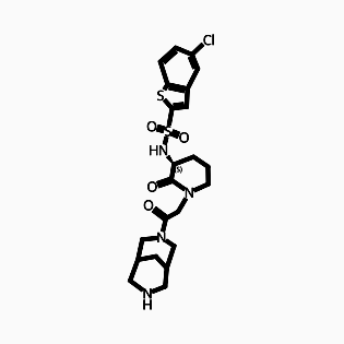 O=C(CN1CCC[C@H](NS(=O)(=O)c2cc3cc(Cl)ccc3s2)C1=O)N1CC2CNCC(C2)C1